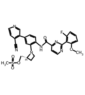 COc1cccc(F)c1-c1nccc(C(=O)Nc2ccc(-c3cnccc3C#N)cc2N2CC[C@@H]2COS(C)(=O)=O)n1